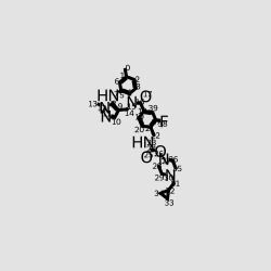 Cc1ccc2c(c1)Nc1c(cnn1C)CN2C(=O)c1ccc(CNC(=O)ON2CCN(CC3CC3)CC2)c(F)c1